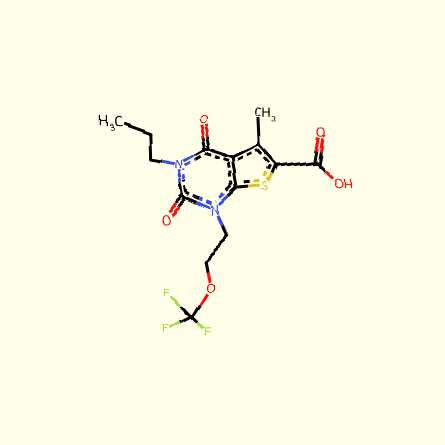 CCCn1c(=O)c2c(C)c(C(=O)O)sc2n(CCOC(F)(F)F)c1=O